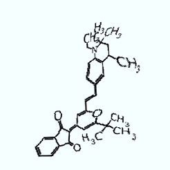 CCN1c2ccc(C=CC3=CC(=C4C(=O)c5ccccc5C4=O)C=C(C(C)(C)C)O3)cc2C(C)CC1(C)C